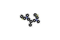 c1ccc(-c2cc(-c3ccc(N(c4ccccc4)c4ccc5sc6ccccc6c5c4)cc3)cc(-c3ccc(N(c4ccccc4)c4ccc5sc6ccccc6c5c4)cc3)c2)cc1